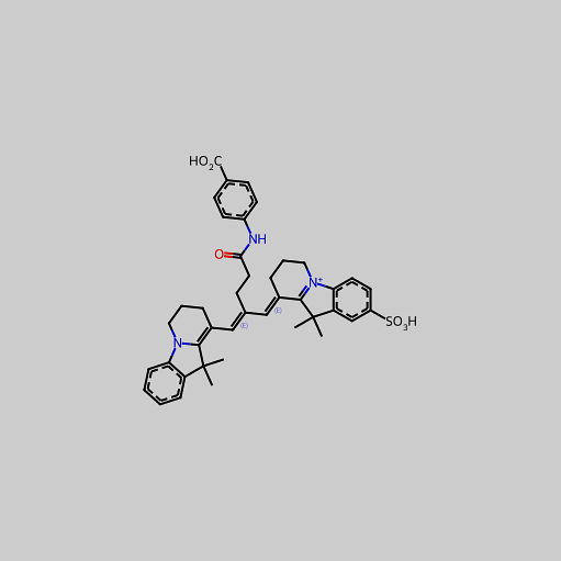 CC1(C)C2=C(/C=C(/C=C3\CCC[N+]4=C3C(C)(C)c3cc(S(=O)(=O)O)ccc34)CCC(=O)Nc3ccc(C(=O)O)cc3)CCCN2c2ccccc21